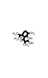 CC(C)C1CCC(C)C(O)C1C(O)C(C)CO